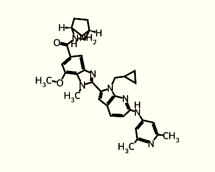 COc1cc(C(=O)N2C[C@H]3CC[C@@H]2[C@@H]3N)cc2nc(-c3cc4ccc(Nc5cc(C)nc(C)c5)nc4n3CC3CC3)n(C)c12